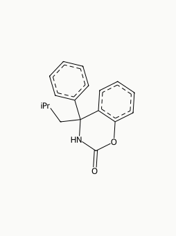 CC(C)CC1(c2ccccc2)NC(=O)Oc2ccccc21